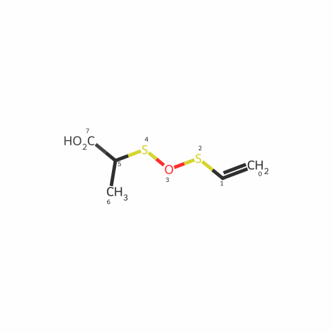 C=CSOSC(C)C(=O)O